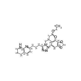 CCOC(=O)CC(Cn1nnnc1CCCc1ccc2c(n1)NCCC2)c1ccc2c(c1)OCO2